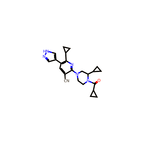 N#Cc1cc(-c2cn[nH]c2)c(C2CC2)nc1N1CCN(C(=O)C2CC2)C(C2CC2)C1